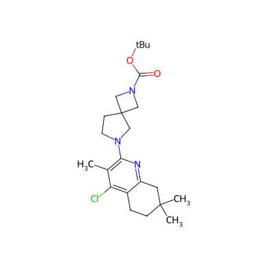 Cc1c(N2CCC3(CN(C(=O)OC(C)(C)C)C3)C2)nc2c(c1Cl)CCC(C)(C)C2